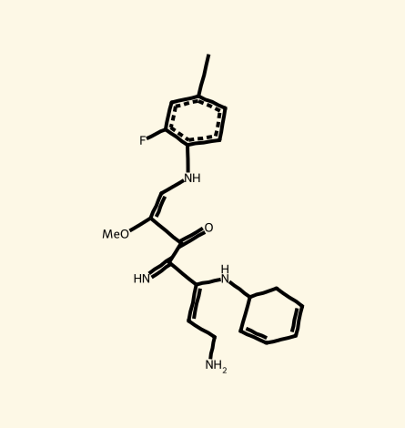 CO/C(=C/Nc1ccc(C)cc1F)C(=O)C(=N)/C(=C/CN)NC1C=CC=CC1